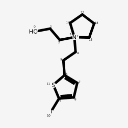 OCC[N+]1(CCc2ccc(I)s2)CCCC1